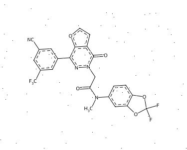 CN(C(=O)Cn1nc(-c2cc(C#N)cc(C(F)(F)F)c2)c2occc2c1=O)c1ccc2c(c1)OC(F)(F)O2